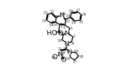 O=C(O)c1c(CN2CCN(/C(=C/[N+](=O)[O-])N3CCCC3)CC2)c(-c2ccccc2)nc2ccccc12